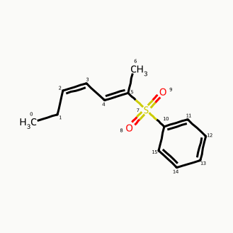 CC/C=C\C=C(/C)S(=O)(=O)c1ccccc1